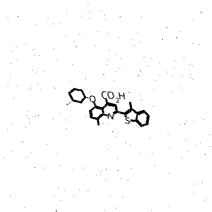 Cc1c(-c2cc(C(=O)O)c3c(O[C@H]4CCC[C@@H](C)C4)ccc(C)c3n2)sc2ccccc12